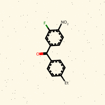 CCc1ccc(C(=O)c2ccc([N+](=O)[O-])c(F)c2)cc1